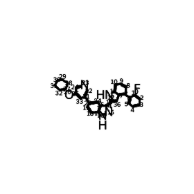 Fc1ccccc1-c1cccc2[nH]c(-c3n[nH]c4ccc(-c5cncc(OC6CCCCC6)c5)cc34)cc12